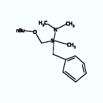 CCCCOC[Si](C)(Cc1ccccc1)N(C)C